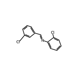 Clc1cccc(C=Nc2ccccc2Cl)c1